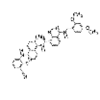 COc1ccc(CNc2ncnc3c(C(=O)Nc4c(C)ccc5c(Nc6cccc(C#N)c6F)nccc45)cccc23)c(OC)c1